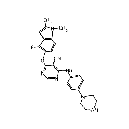 Cc1cc2c(F)c(Oc3ncnc(Nc4ccc(N5CCNCC5)cc4)c3C#N)ccc2n1C